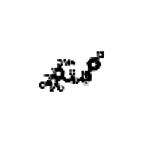 COc1cc(CC(=O)Nc2nc(-c3ccc(Cl)cc3)cs2)c2c(=O)n(C)c(=O)n(C)c2n1